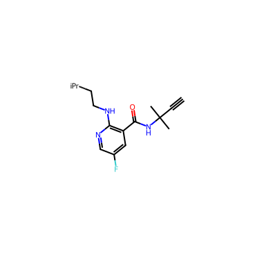 C#CC(C)(C)NC(=O)c1cc(F)cnc1NCCC(C)C